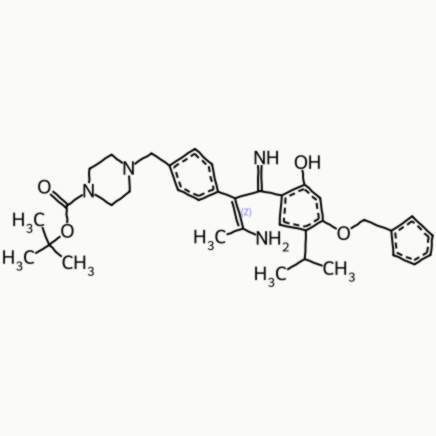 C/C(N)=C(/C(=N)c1cc(C(C)C)c(OCc2ccccc2)cc1O)c1ccc(CN2CCN(C(=O)OC(C)(C)C)CC2)cc1